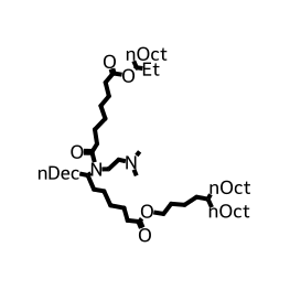 CCCCCCCCCCC(CCCCCC(=O)OCCCCC(CCCCCCCC)CCCCCCCC)N(CCN(C)C)C(=O)CCCCCCC(=O)OC(CC)CCCCCCCC